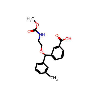 COC(=O)NCCOC(c1cccc(C)c1)c1cccc(C(=O)O)c1